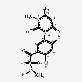 CC(C)N(C)S(=O)(=O)C(=O)c1cc(-n2c(=O)cc(C(F)(F)F)n(C)c2=O)c(F)cc1Cl